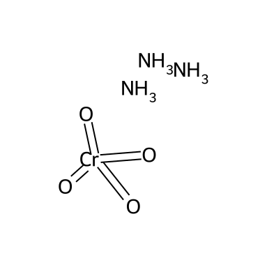 N.N.N.[O]=[Cr](=[O])(=[O])=[O]